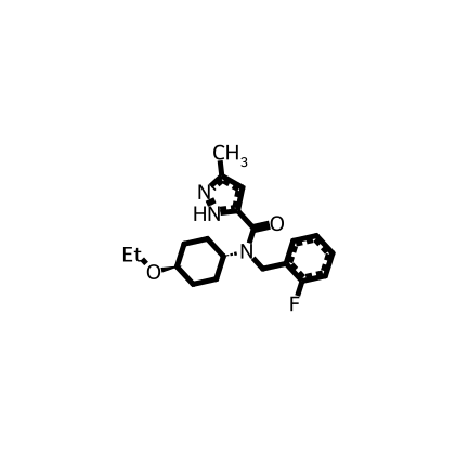 CCO[C@H]1CC[C@H](N(Cc2ccccc2F)C(=O)c2cc(C)n[nH]2)CC1